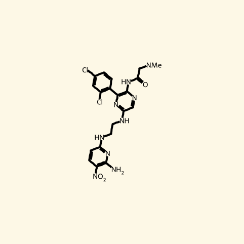 CNCC(=O)Nc1ncc(NCCNc2ccc([N+](=O)[O-])c(N)n2)nc1-c1ccc(Cl)cc1Cl